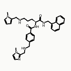 Cn1cccc1CNCCC[C@H](NC(=O)c1ccc(CNCc2nccn2C)cc1)C(=O)NCc1cccc2ccccc12